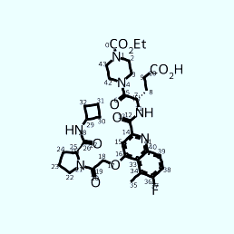 CCOC(=O)N1CCN(C(=O)[C@H](CCC(=O)O)NC(=O)c2cc(OCC(=O)N3CCC[C@H]3C(=O)NC3CCC3)c3c(C)c(F)ccc3n2)CC1